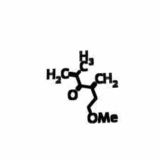 C=C(C)C(=O)C(=C)CCOC